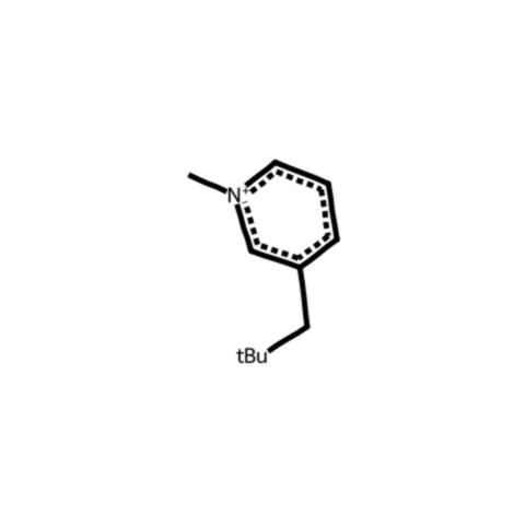 C[n+]1cccc(CC(C)(C)C)c1